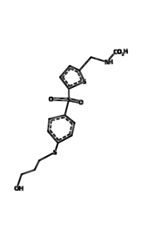 O=C(O)NCc1ccc(S(=O)(=O)c2ccc(SCCCO)cc2)s1